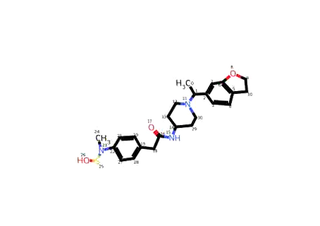 CC(c1ccc2c(c1)OCC2)N1CCC(NC(=O)Cc2ccc(N(C)SO)cc2)CC1